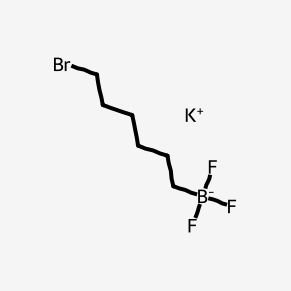 F[B-](F)(F)CCCCCCBr.[K+]